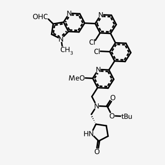 COc1nc(-c2cccc(-c3ccnc(-c4cnc5c(C=O)cn(C)c5c4)c3Cl)c2Cl)ccc1CN(C[C@@H]1CCC(=O)N1)C(=O)OC(C)(C)C